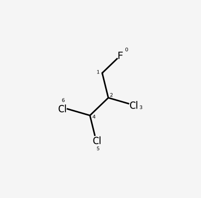 FCC(Cl)C(Cl)Cl